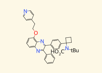 CC(C)(C)N(C(=O)O)C1(c2ccc(-c3nc4c(OCCc5ccncc5)cccc4nc3-c3ccccc3)cc2)CCC1